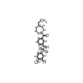 CCN1CCCN(C(=O)c2cccc(NS(=O)(=O)c3ccc(Cl)c(Cl)c3)c2)CC1